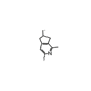 [CH2]C1Cc2cc(I)nc(C)c2C1